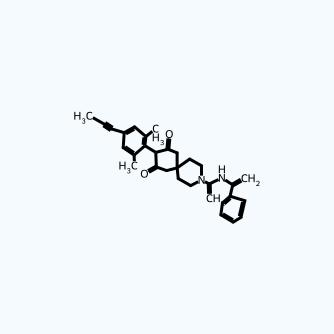 C=C(NC(=C)N1CCC2(CC1)CC(=O)C(c1c(C)cc(C#CC)cc1C)C(=O)C2)c1ccccc1